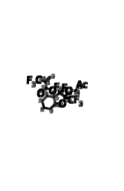 C=C(C(=O)OC12CCCCC1OC(OCC(C)=O)(C(F)(F)F)C2(F)F)C(F)(F)F